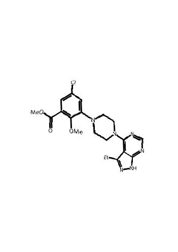 CCc1n[nH]c2ncnc(N3CCN(c4cc(Cl)cc(C(=O)OC)c4OC)CC3)c12